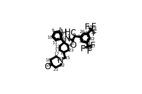 CC(C(=O)NC1(c2ccccc2)CCC(CN2CCC(=O)CC2)CC1)c1cc(C(F)(F)F)cc(C(F)(F)F)c1